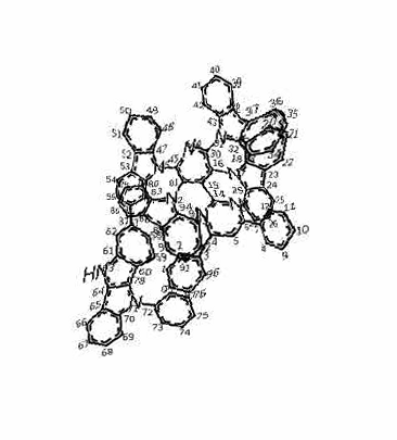 c1ccc(-c2cc(-c3ccccc3)nc(-c3c(-n4c5ccccc5c5ccccc54)c(-n4c5ccccc5c5ccccc54)nc(-n4c5ccccc5c5ccc(-c6ccc7c(c6)[nH]c6c8ccccc8n(-c8ccccc8)c76)cc54)c3-n3c4ccccc4c4ccccc43)n2)cc1